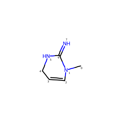 CN1C=CCNC1=N